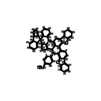 CC(C)(C)c1ccc(N2c3c(ccc4c3oc3ccccc34)-c3c4c(cc5c3oc3ccccc35)N3c5ccccc5C5(c6ccccc6-c6ccccc65)c5cccc(c53)C42)cc1